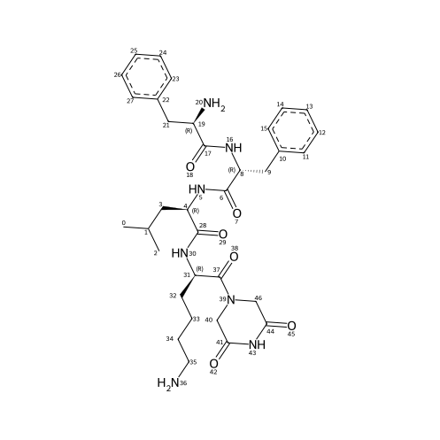 CC(C)C[C@@H](NC(=O)[C@@H](Cc1ccccc1)NC(=O)[C@H](N)Cc1ccccc1)C(=O)N[C@H](CCCCN)C(=O)N1CC(=O)NC(=O)C1